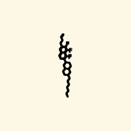 C=CCCc1cc2ccc(C3CCC4CC(CCCCCCC)CCC4C3)c(F)c2c(F)c1F